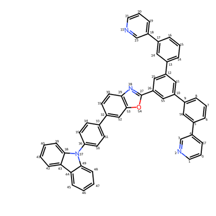 c1cncc(-c2cccc(-c3cc(-c4cccc(-c5cccnc5)c4)cc(-c4nc5ccc(-c6ccc(-n7c8ccccc8c8ccccc87)cc6)cc5o4)c3)c2)c1